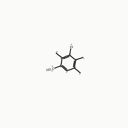 CCc1c(C)c(C)cc(C(=O)O)c1C